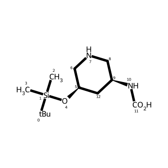 CC(C)(C)[Si](C)(C)O[C@H]1CNC[C@@H](NC(=O)O)C1